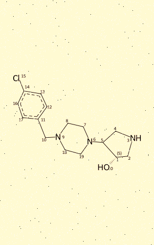 O[C@H]1CNCC1N1CCN(Cc2ccc(Cl)cc2)CC1